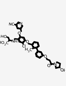 Cc1c(COc2cc(OCc3cncc(C#N)c3)c(CNC(CO)C(=O)O)cc2Cl)cccc1-c1cccc(OCCC(=O)N2CC[C@@H](O)C2)c1